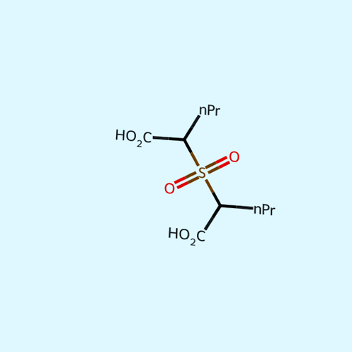 CCCC(C(=O)O)S(=O)(=O)C(CCC)C(=O)O